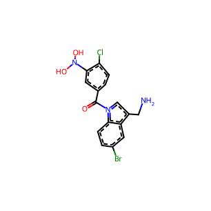 NCc1cn(C(=O)c2ccc(Cl)c(N(O)O)c2)c2ccc(Br)cc12